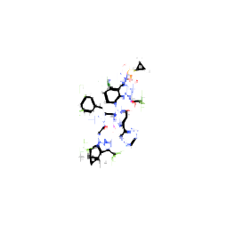 O=C(Cn1nc(C(F)F)c2c1C(F)(F)[C@@H]1C[C@H]21)N[C@@H](Cc1cc(F)cc(F)c1)c1nc(-c2cnccn2)cc(=O)n1-c1ccc(Cl)c2c(NS(=O)(=O)C3CC3)nn(CC(F)F)c12